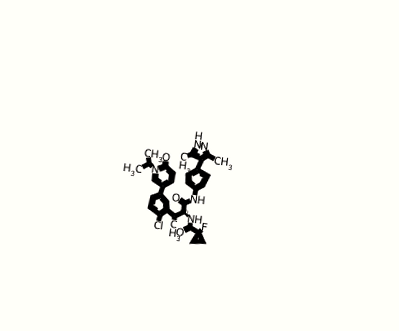 Cc1n[nH]c(C)c1-c1ccc(NC(=O)[C@@H](NC(=O)C2(F)CC2)C(C)c2cc(-c3ccc(=O)n(C(C)C)c3)ccc2Cl)cc1